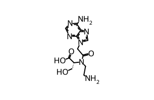 NCCN(C(=O)Cn1cnc2c(N)ncnc21)[C@H](CO)C(=O)O